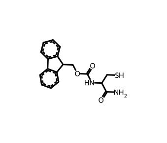 NC(=O)C(CS)NC(=O)OCC1c2ccccc2-c2ccccc21